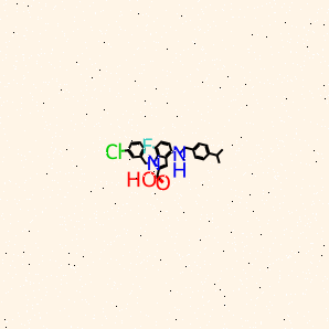 CC(C)c1ccc(CNc2ccc(F)c3c2cc(C(=O)O)n3Cc2cccc(Cl)c2)cc1